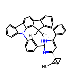 CC1(C)c2ccccc2-c2ccc3c4ccccc4n(-c4cccc(C5N=C([C@]67CC6=C7C#N)C=C(c6ccccc6)N5)c4)c3c21